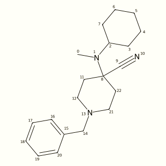 CN(C1CCCCC1)C1(C#N)CCN(Cc2ccccc2)CC1